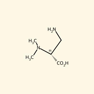 CN(C)[C@H](CN)C(=O)O